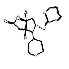 O=C1C[C@H]2[C@H](N3CCOCC3)[C@@H](OC3CCCCO3)C[C@H]2O1